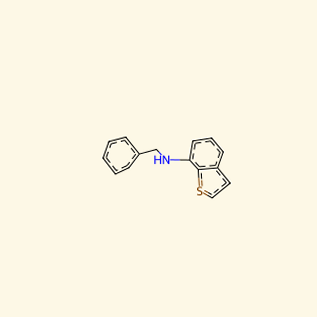 c1ccc(CNc2cccc3ccsc23)cc1